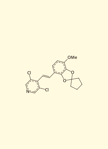 COc1ccc(C=Cc2c(Cl)cncc2Cl)c2c1OC1(CCCC1)O2